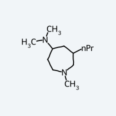 CCCC1CC(N(C)C)CCN(C)C1